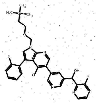 C[Si](C)(C)CCOCn1cc(-c2ccccc2F)c2c(Cl)c(-c3cncc(C(O)c4ncccc4F)c3)cnc21